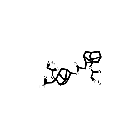 C=CC(=O)OC12CC3CC(CC(C3)C1CC(=O)OC1C3CC4CC1CC(C3)C4(CC(=O)O)OC(=O)C=C)C2